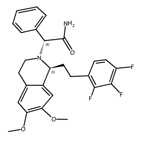 COc1cc2c(cc1OC)[C@H](CCc1ccc(F)c(F)c1F)N([C@@H](C(N)=O)c1ccccc1)CC2